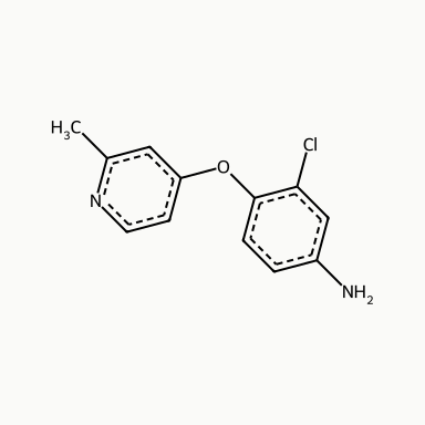 Cc1cc(Oc2ccc(N)cc2Cl)ccn1